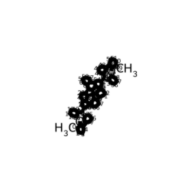 Cc1cccc2c1oc1c(N(c3ccccc3)c3ccc4c5c(ccc4c3)-c3c(c4ccc(N(c6ccccc6)c6cccc7c6oc6c(C)cccc67)cc4c4ccccc34)C5(c3ccccc3)c3ccccc3)cccc12